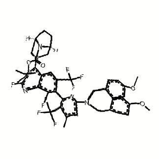 COc1ccc(CN(Cc2ccc(OC)cc2)c2cc(C)c(C(F)(F)F)c(-c3c(C(F)(F)F)cc4c(N5C[C@H]6CC[C@@H](C5)N6C(=O)OC(C)(C)C)nc(F)nc4c3F)n2)cc1